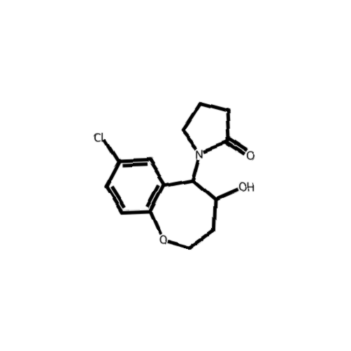 O=C1CCCN1C1c2cc(Cl)ccc2OCCC1O